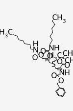 CCCCCCCCNC(=O)OC[C@H](CSC[C@H](NC(=O)OCc1ccccc1)C(=O)OC(C)(C)C)OC(=O)NCCCCCCCC